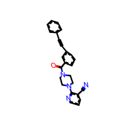 N#Cc1cccnc1N1CCN(C(=O)c2cccc(C#Cc3ccccc3)c2)CC1